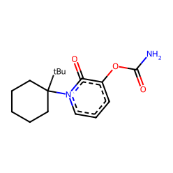 CC(C)(C)C1(n2cccc(OC(N)=O)c2=O)CCCCC1